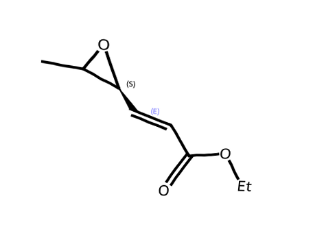 CCOC(=O)/C=C/[C@@H]1OC1C